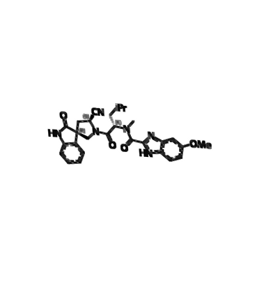 COc1ccc2[nH]c(C(=O)N(C)[C@@H](CC(C)C)C(=O)N3C[C@]4(C[C@H]3C#N)C(=O)Nc3ccccc34)nc2c1